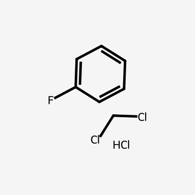 Cl.ClCCl.Fc1ccccc1